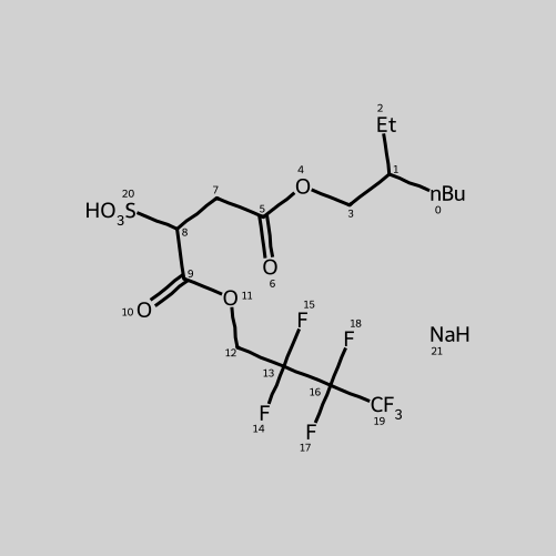 CCCCC(CC)COC(=O)CC(C(=O)OCC(F)(F)C(F)(F)C(F)(F)F)S(=O)(=O)O.[NaH]